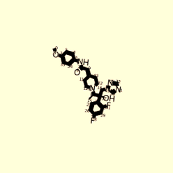 COc1ccc(NC(=O)C=C2CCN([C@H](C)[C@](O)(Cn3cncn3)c3ccc(F)cc3F)CC2)cc1